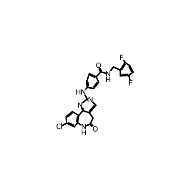 O=C1Cc2cnc(Nc3ccc(C(=O)NCc4cc(F)ccc4F)cc3)nc2-c2ccc(Cl)cc2N1